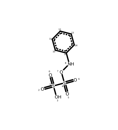 O=S(=O)(O)S(=O)(=O)ONc1ccccc1